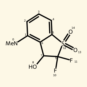 CNc1cccc2c1C(O)C(F)(F)S2(=O)=O